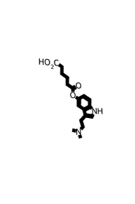 CN(C)CCc1c[nH]c2ccc(OC(=O)CCCCC(=O)O)cc12